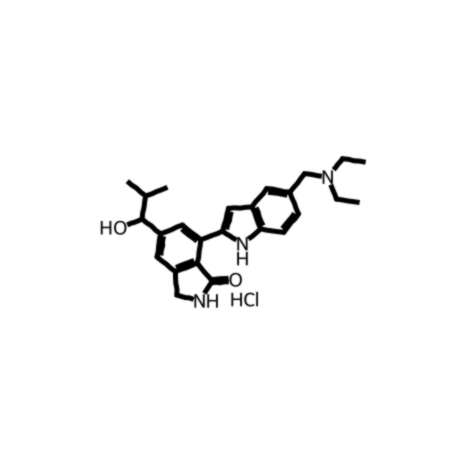 CCN(CC)Cc1ccc2[nH]c(-c3cc(C(O)C(C)C)cc4c3C(=O)NC4)cc2c1.Cl